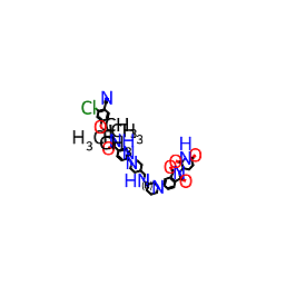 CC1(C)C(NC(=O)c2ccc(N3CCC(CN[C@@H]4CCCN(c5ccc6c(c5)C(=O)N(C5CCC(=O)NC5=O)C6=O)C4)CC3)nc2)C(C)(C)C1Oc1ccc(C#N)c(Cl)c1